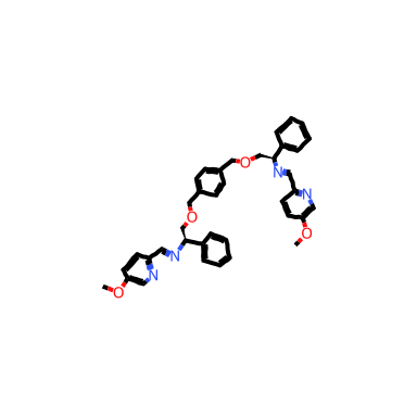 COc1ccc(/C=N/[C@@H](COCc2ccc(COC[C@H](/N=C/c3ccc(OC)cn3)c3ccccc3)cc2)c2ccccc2)nc1